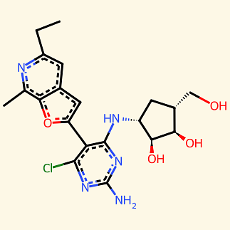 CCc1cc2cc(-c3c(Cl)nc(N)nc3N[C@@H]3C[C@H](CO)[C@@H](O)[C@H]3O)oc2c(C)n1